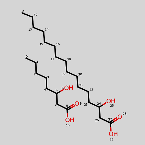 CCCCCC(O)CC(=O)O.CCCCCCCCCCCCCC(O)CC(=O)O